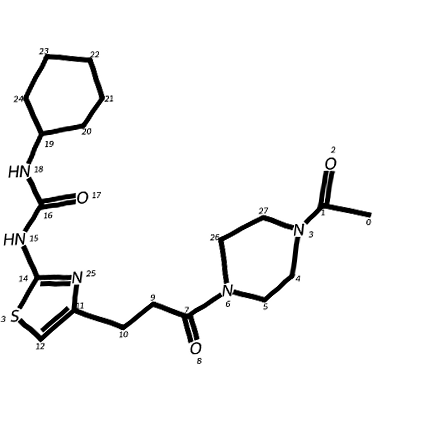 CC(=O)N1CCN(C(=O)CCc2csc(NC(=O)NC3CCCCC3)n2)CC1